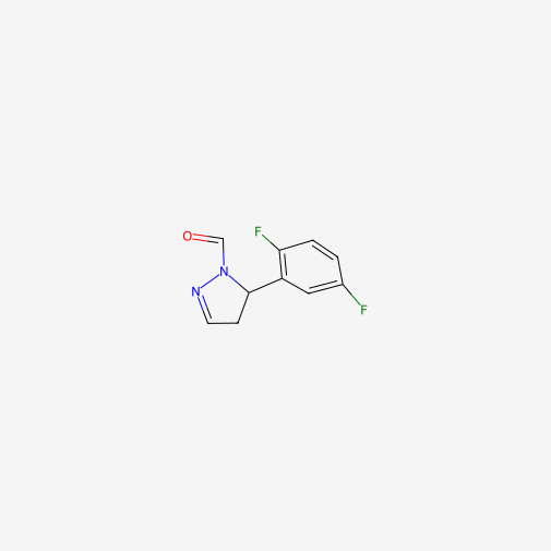 O=CN1N=CCC1c1cc(F)ccc1F